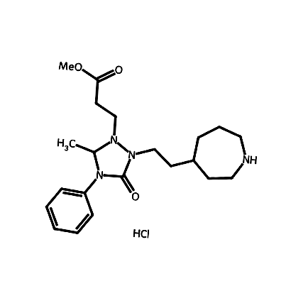 COC(=O)CCN1C(C)N(c2ccccc2)C(=O)N1CCC1CCCNCC1.Cl